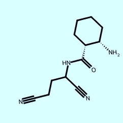 N#CCCC(C#N)NC(=O)[C@@H]1CCCC[C@@H]1N